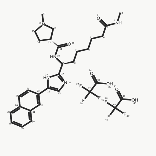 CNC(=O)CCCCC[C@H](NC(=O)[C@@H]1CCN(C)C1)c1ncc(-c2ccc3ccccc3c2)[nH]1.O=C(O)C(F)(F)F.O=C(O)C(F)(F)F